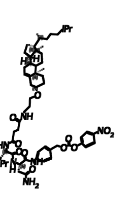 CC(C)CCC[C@@H](C)[C@H]1CC[C@H]2[C@@H]3CC=C4C[C@@H](OCCCNC(=O)CCC(=O)N[C@@H](CC(C)C)C(=O)N[C@@H](CC(N)=O)C(=O)Nc5ccc(COC(=O)Oc6ccc([N+](=O)[O-])cc6)cc5)CC[C@]4(C)C3CC[C@]12C